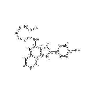 O=c1nccccc1Nc1nc2ccccc2c2nc(-c3ccc(F)nc3)nn12